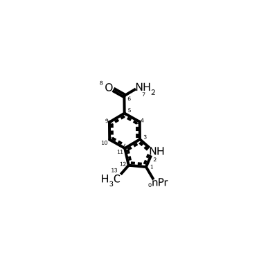 CCCc1[nH]c2cc(C(N)=O)ccc2c1C